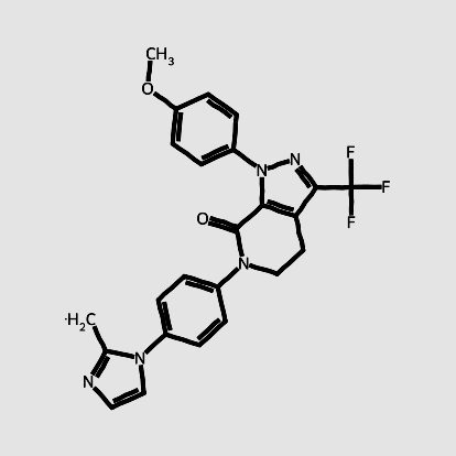 [CH2]c1nccn1-c1ccc(N2CCc3c(C(F)(F)F)nn(-c4ccc(OC)cc4)c3C2=O)cc1